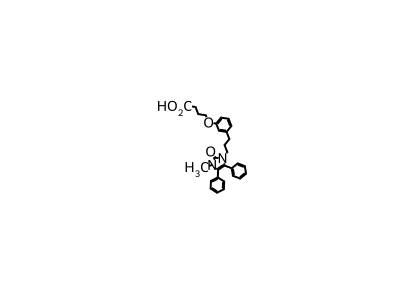 Cn1c(-c2ccccc2)c(-c2ccccc2)n(CCCc2cccc(OCCCC(=O)O)c2)c1=O